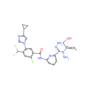 C[C@H](CO)N(N)/C(=N\N)c1cccc(NC(=O)c2cc(-n3cnc(C4CC4)c3)c(C(F)F)cc2F)n1